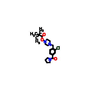 CC(C)(C)C(=O)ON1CCN(Cc2ccc(C(=O)N3CCCC3)cc2Cl)CC1